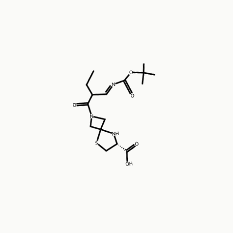 CCC(/C=N/C(=O)OC(C)(C)C)C(=O)N1CC2(C1)N[C@H](C(=O)O)CS2